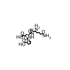 NC(=O)CCC[C@H](N)c1noc([C@H](CCC(=O)O)NC(=O)N2CCCC2C(=O)O)n1